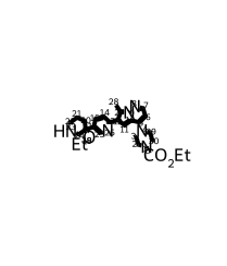 CCOC(=O)N1CCN(C2=CC=NN3C2=CC(c2ccc([C@@]4(OCC)CCCNC4)cn2)C3C)CC1